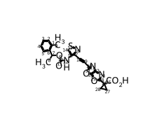 Cc1ccccc1C(C)OC(=O)Nc1csnc1C#Cc1nc2nc(C3(C(=O)O)CC3)oc2o1